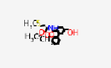 CSCC[C@H](NC(=O)c1ccc(CO)cc1-c1ccccc1)C(=O)OC(C)C